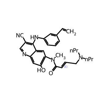 C=Cc1cccc(Nc2c(C#N)cnc3cc(O)c(N(C)C(=O)/C=C/CN(CCC)CCC)cc23)c1